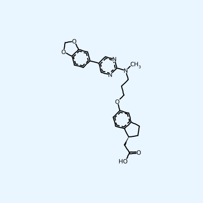 CN(CCCOc1ccc2c(c1)CC[C@H]2CC(=O)O)c1ncc(-c2ccc3c(c2)OCO3)cn1